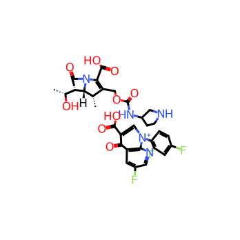 C[C@@H](O)[C@@H]1C(=O)N2C(C(=O)O)=C(COC(=O)NC3CNCC3[N@+]3(c4ccc(F)cc4F)C=C(C(=O)O)C(=O)c4cc(F)cnc43)[C@H](C)[C@H]12